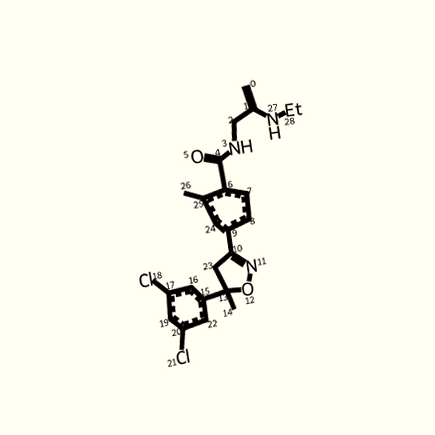 C=C(CNC(=O)c1ccc(C2=NOC(C)(c3cc(Cl)cc(Cl)c3)C2)cc1C)NCC